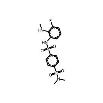 CNc1c(F)cccc1NS(=O)(=O)c1ccc(S(=O)(=O)N(C)C)cc1